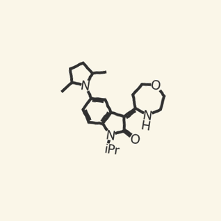 CC(C)N1C(=O)/C(=C2/CCOCCN2)c2cc(N3C(C)CCC3C)ccc21